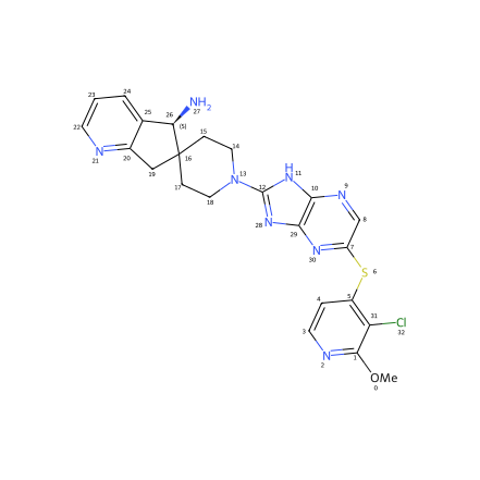 COc1nccc(Sc2cnc3[nH]c(N4CCC5(CC4)Cc4ncccc4[C@H]5N)nc3n2)c1Cl